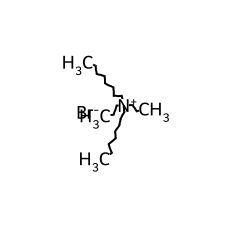 CCCCCCCC[N+](CCC)(CCC)CCCCCCCC.[Br-]